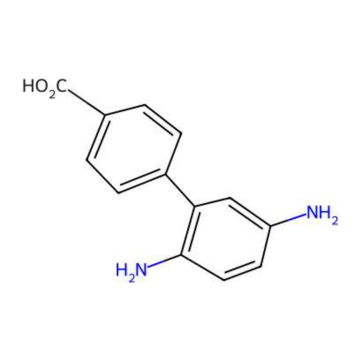 Nc1ccc(N)c(-c2ccc(C(=O)O)cc2)c1